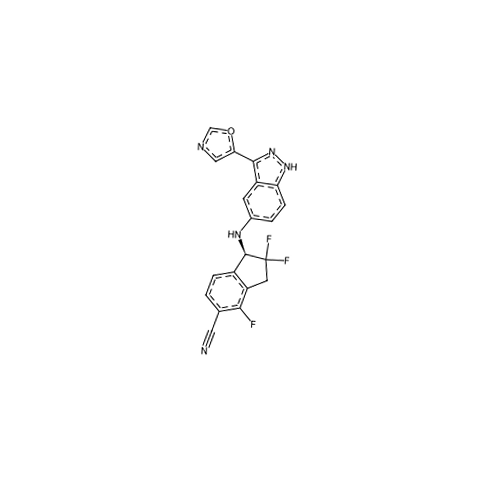 N#Cc1ccc2c(c1F)CC(F)(F)[C@@H]2Nc1ccc2[nH]nc(-c3cnco3)c2c1